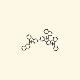 c1ccc(-n2c3ccccc3c3c2ccc2c4cc(-c5ccc6c(c5)c5ccccc5n6-c5ccc6ccccc6c5)ccc4n(-c4cccc5ccccc45)c23)cc1